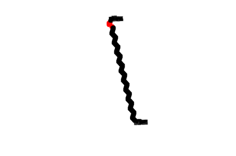 CCCCCCCCCCCCCCCCCCCCCCCCCCCCCCOCCCCCC